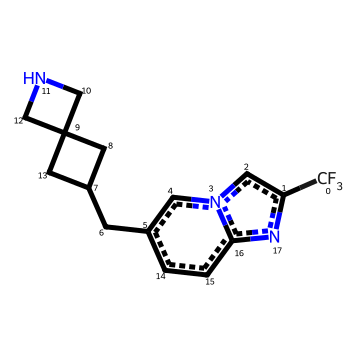 FC(F)(F)c1cn2cc(CC3CC4(CNC4)C3)ccc2n1